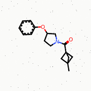 CC12CC(C(=O)N3CCC(Oc4ccccc4)C3)(C1)C2